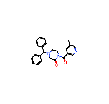 Cc1cncc(C(=O)N2CCN(C(c3ccccc3)c3ccccc3)CC2=O)c1